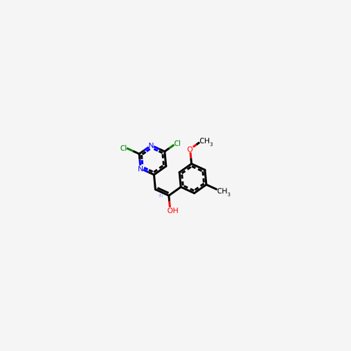 COc1cc(C)cc(/C(O)=C\c2cc(Cl)nc(Cl)n2)c1